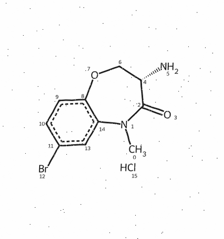 CN1C(=O)[C@@H](N)COc2ccc(Br)cc21.Cl